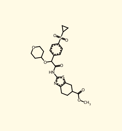 COC(=O)C1CCc2nc(NC(=O)C(OC3CCOCC3)c3ccc(S(=O)(=O)C4CC4)cc3)sc2C1